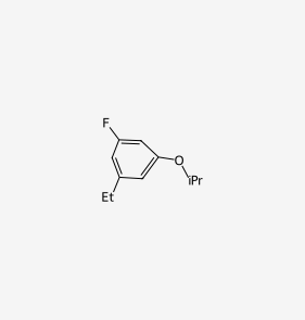 CCc1cc(F)cc(OC(C)C)c1